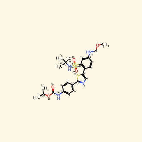 COCNc1ccc(-c2cnc(-c3ccc(NC(=O)OC(C)C)cc3)s2)c(S(=O)(=O)NC(C)(C)C)c1